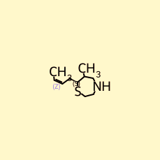 C/C=C\C[C@@H]1SCCNCC1C